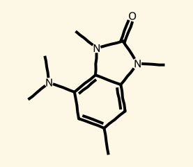 Cc1cc(N(C)C)c2c(c1)n(C)c(=O)n2C